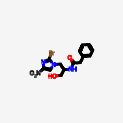 O=C(Cc1ccccc1)NC(CO)Cn1cc([N+](=O)[O-])nc1Br